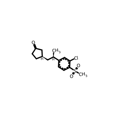 C[C@H](C[C@H]1CCC(=O)C1)c1ccc(S(C)(=O)=O)c(Cl)c1